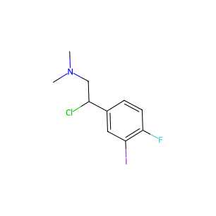 CN(C)CC(Cl)c1ccc(F)c(I)c1